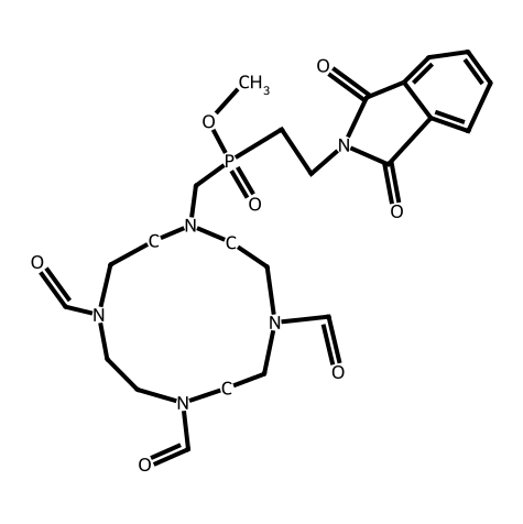 COP(=O)(CCN1C(=O)c2ccccc2C1=O)CN1CCN(C=O)CCN(C=O)CCN(C=O)CC1